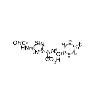 O=CNc1nc(/C(=N/Oc2ccc(F)cc2)C(=O)O)ns1